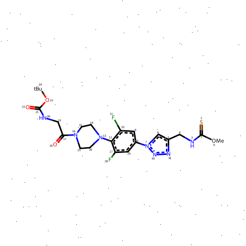 COC(=S)NCc1cn(-c2cc(F)c(N3CCN(C(=O)CNC(=O)OC(C)(C)C)CC3)c(F)c2)nn1